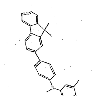 Cc1cccc(N(C)c2ccc(-c3ccc4c(c3)C(C)(C)c3ccccc3-4)cc2)c1